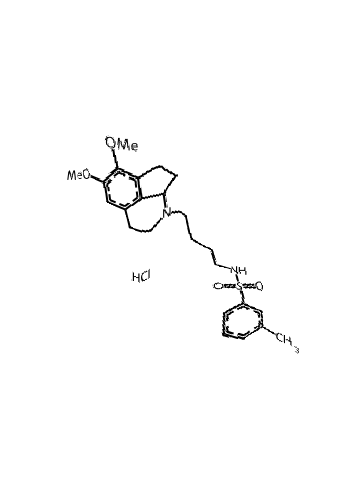 COc1cc2c3c(c1OC)CCC3N(CCCCNS(=O)(=O)c1cccc(C)c1)CC2.Cl